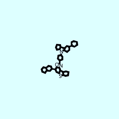 c1ccc(-c2ccc3c(c2)c2ccccc2n3-c2ccc(-c3nc4c(o3)c(-c3ccc5ccccc5c3)cc3sc5ccccc5c34)cc2)cc1